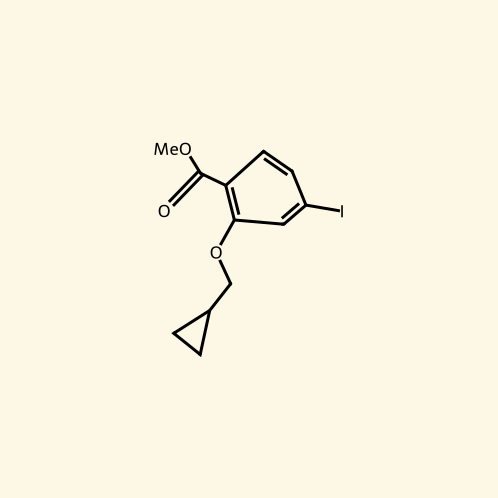 COC(=O)c1ccc(I)cc1OCC1CC1